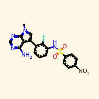 Cn1cc(-c2cccc(NS(=O)(=O)c3ccc([N+](=O)[O-])cc3)c2F)c2c(N)ncnc21